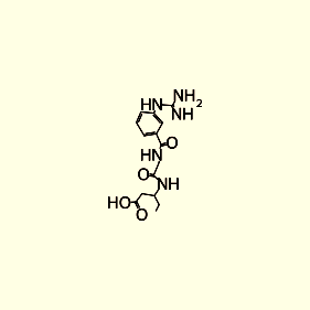 CCC(CC(=O)O)NC(=O)CNC(=O)c1cccc(NC(=N)N)c1